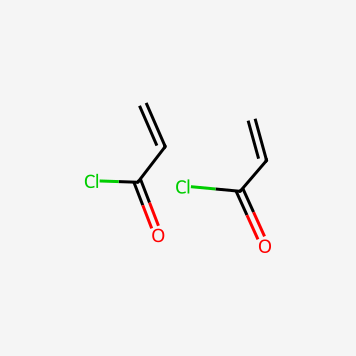 C=CC(=O)Cl.C=CC(=O)Cl